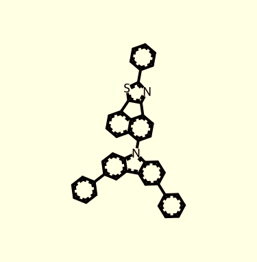 c1ccc(-c2ccc3c(c2)c2cc(-c4ccccc4)ccc2n3-c2ccc3c4c(cccc24)-c2sc(-c4ccccc4)nc2-3)cc1